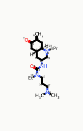 C=C1C[C@@H]2[C@@H](CC1=O)C[C@H](NC(=O)N(CC)CCCN(C)C)CN2CCC